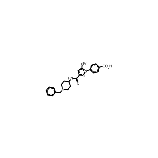 CCCc1cc(C(=O)NC2CCN(Cc3ccccc3)CC2)nn1-c1ccc(C(=O)O)cc1